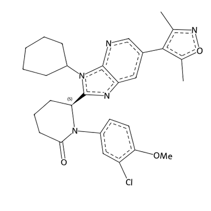 COc1ccc(N2C(=O)CCC[C@H]2c2nc3cc(-c4c(C)noc4C)cnc3n2C2CCCCC2)cc1Cl